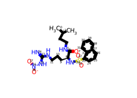 CC(C)C[CH]NC(=O)[C@H](CCCNC(=N)N[N+](=O)[O-])NS(=O)(=O)c1cccc2ccccc12